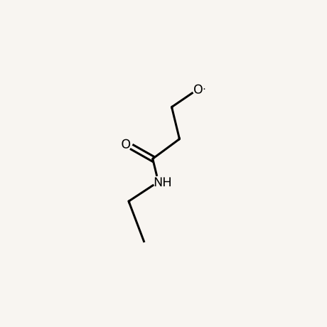 CCNC(=O)CC[O]